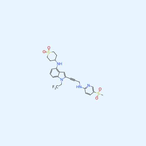 CS(=O)(=O)c1ccc(NCC#Cc2cc3c(NC4CCS(=O)(=O)CC4)cccc3n2CC(F)(F)F)nc1